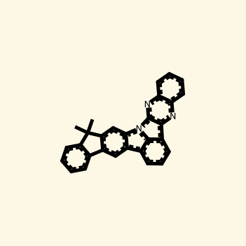 CC1(C)c2ccccc2-c2cc3c4cccc5c6nc7ccccc7nc6n(c3cc21)c45